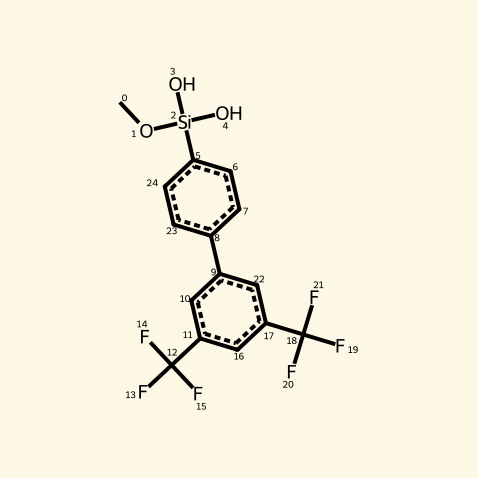 CO[Si](O)(O)c1ccc(-c2cc(C(F)(F)F)cc(C(F)(F)F)c2)cc1